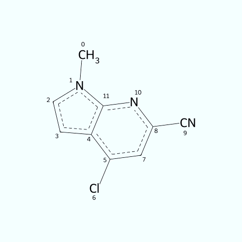 Cn1ccc2c(Cl)cc(C#N)nc21